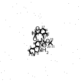 Cc1ncccc1-c1cc2c(nc1N)N(C(=O)OC(C)(C)C)Cc1c(F)ccc3c1[C@@H](CO2)CO3